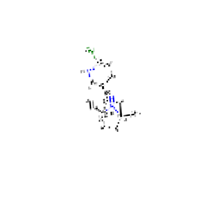 Brc1ccc([C@H]2C[C@@H]3CC[C@H]2N3)cn1